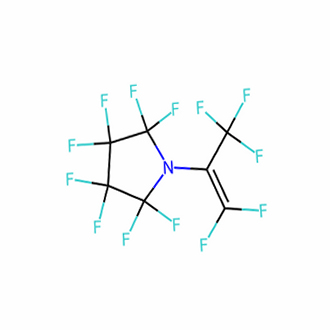 FC(F)=C(N1C(F)(F)C(F)(F)C(F)(F)C1(F)F)C(F)(F)F